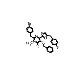 Cn1c(Cc2ccc(Br)cc2)nc(-c2ncc(Cc3ccc(F)cc3)o2)c(OCc2ccccc2)c1=O